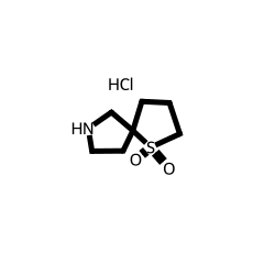 Cl.O=S1(=O)CCCC12CCNC2